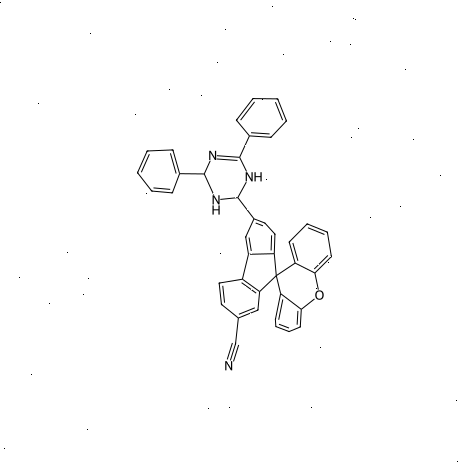 N#Cc1ccc2c(c1)C1(c3ccccc3Oc3ccccc31)c1ccc(C3NC(c4ccccc4)=NC(c4ccccc4)N3)cc1-2